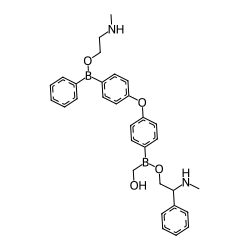 CNCCOB(c1ccccc1)c1ccc(Oc2ccc(B(CO)OCC(NC)c3ccccc3)cc2)cc1